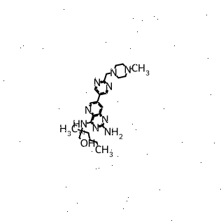 CCCC[C@](C)(CO)Nc1nc(N)nc2cc(-c3cnc(CN4CCN(C)CC4)nc3)cnc12